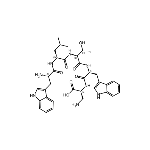 CC(C)C[C@H](NC(=O)[C@@H](N)Cc1c[nH]c2ccccc12)C(=O)N[C@H](C(=O)N[C@@H](Cc1c[nH]c2ccccc12)C(=O)N[C@@H](CN)C(=O)O)[C@@H](C)O